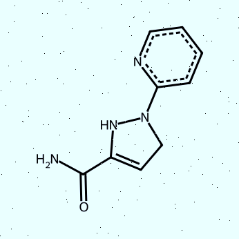 NC(=O)C1=CCN(c2ccccn2)N1